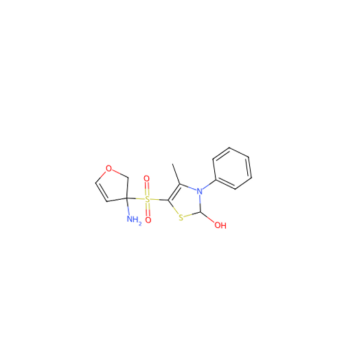 CC1=C(S(=O)(=O)C2(N)C=COC2)SC(O)N1c1ccccc1